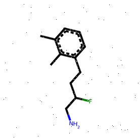 Cc1cccc(CCC(F)CN)c1C